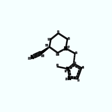 Cn1nccc1CN1CCC[C@H](C#N)C1